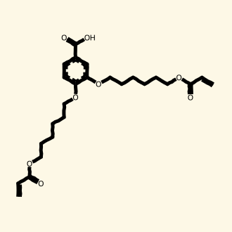 C=CC(=O)OCCCCCCOc1ccc(C(=O)O)cc1OCCCCCCOC(=O)C=C